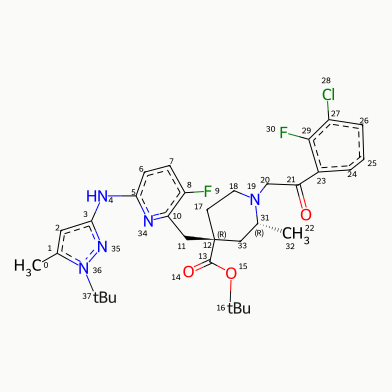 Cc1cc(Nc2ccc(F)c(C[C@@]3(C(=O)OC(C)(C)C)CCN(CC(=O)c4cccc(Cl)c4F)[C@H](C)C3)n2)nn1C(C)(C)C